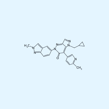 Cc1ccc(-c2c(=O)n(-c3ccc4nn(C)cc4c3)nc3cnn(CC4CC4)c23)cn1